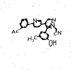 CC(=O)c1cccc(-c2ccc(-c3cnn(CC#N)c3-c3cc(C)cc(O)c3)cn2)c1